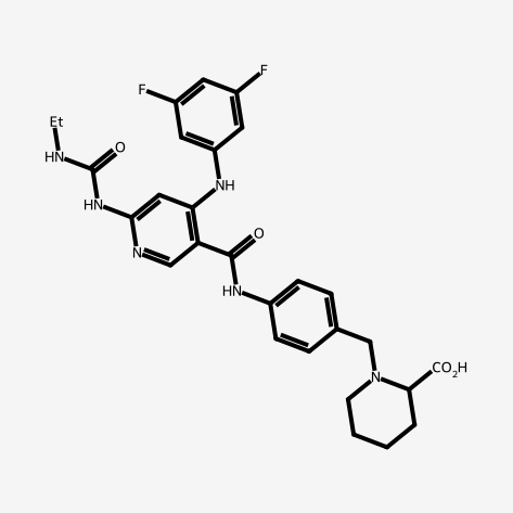 CCNC(=O)Nc1cc(Nc2cc(F)cc(F)c2)c(C(=O)Nc2ccc(CN3CCCCC3C(=O)O)cc2)cn1